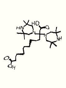 CC1(C)CN(C(CCCCCCCC(=O)O)(C(=O)O)N2CC(C)(C)NC(C)(C)C2)CC(C)(C)N1